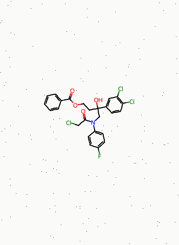 O=C(OCCC(O)(CN(C(=O)CCl)c1ccc(F)cc1)c1ccc(Cl)c(Cl)c1)c1ccccc1